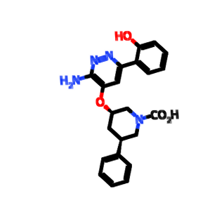 Nc1nnc(-c2ccccc2O)cc1O[C@@H]1C[C@H](c2ccccc2)CN(C(=O)O)C1